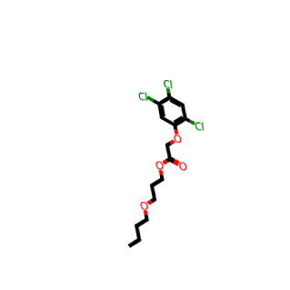 CCCCOCCCOC(=O)COc1cc(Cl)c(Cl)cc1Cl